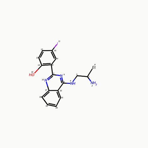 CCC(N)CNc1nc(-c2cc(I)ccc2O)nc2ccccc12